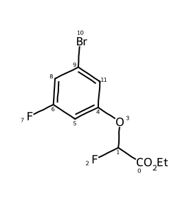 CCOC(=O)C(F)Oc1cc(F)cc(Br)c1